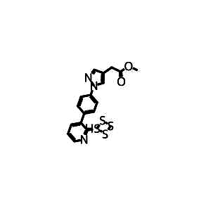 COC(=O)Cc1cnn(-c2ccc(-c3cccnc3[SH]3SSS3)cc2)c1